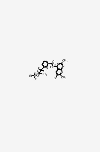 CC[Si](CC)(CC)OC(C)(C)C(F)(F)c1cccc(C(C)Nc2nc(C)nc3nc(C)c(Br)cc23)c1F